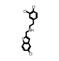 Clc1ccc2sc(CNCCc3ccc(Cl)c(Cl)c3)cc2c1